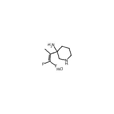 CC(=C(F)F)C1(N)CCCNC1.Cl